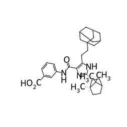 CC1(C)C2CC[C@@]1(C)[C@H](c1nc(C(=O)Nc3cccc(C(=O)O)c3)c(CCC34CC5CC(CC(C5)C3)C4)[nH]1)C2